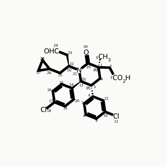 C[C@]1(CC(=O)O)C[C@H](c2cccc(Cl)c2)[C@@H](c2ccc(Cl)cc2)N([C@H](CC=O)CC2CC2)C1=O